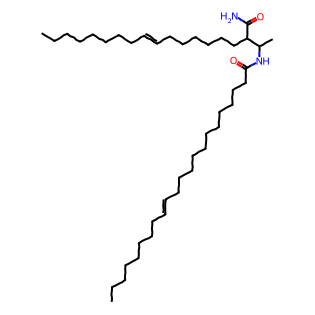 CCCCCCCCC=CCCCCCCCCCCCC(=O)NC(C)C(CCCCCCC=CCCCCCCCC)C(N)=O